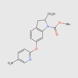 CCOC(=O)C1Cc2ccc(Oc3ccc([N+](=O)[O-])cn3)cc2N1C(=O)OC(C)(C)C